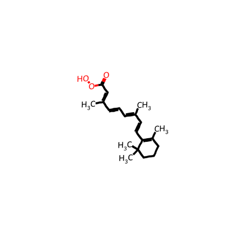 CC(C=CC1=C(C)CCCC1(C)C)=CC=CC(C)=CC(=O)OO